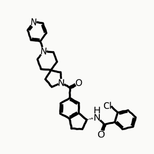 O=C(N[C@@H]1CCc2ccc(C(=O)N3CCC4(CCN(c5ccncc5)CC4)C3)cc21)c1ccccc1Cl